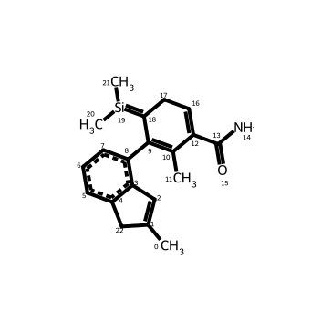 CC1=Cc2c(cccc2C2=C(C)C(C([NH])=O)=CCC2=[Si](C)C)C1